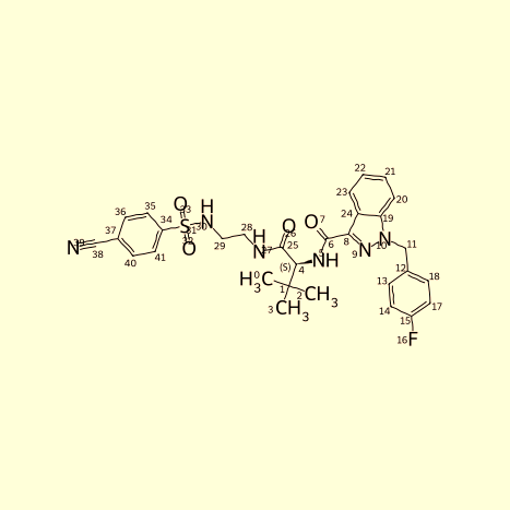 CC(C)(C)[C@H](NC(=O)c1nn(Cc2ccc(F)cc2)c2ccccc12)C(=O)NCCNS(=O)(=O)c1ccc(C#N)cc1